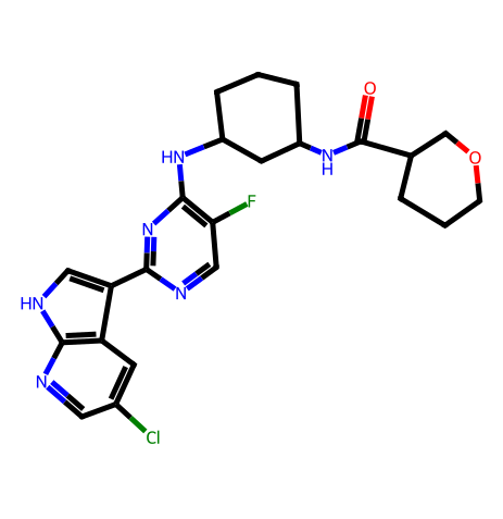 O=C(NC1CCCC(Nc2nc(-c3c[nH]c4ncc(Cl)cc34)ncc2F)C1)C1CCCOC1